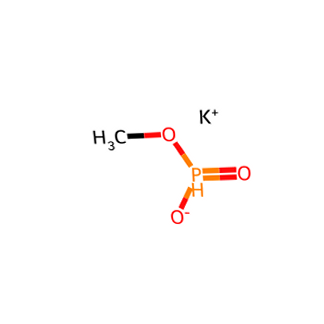 CO[PH](=O)[O-].[K+]